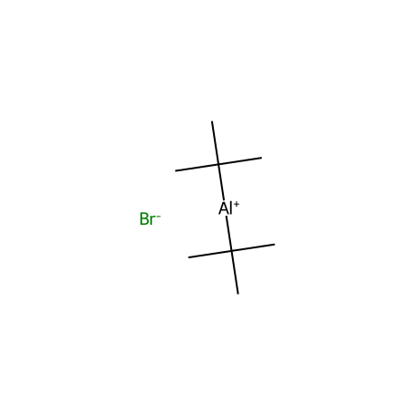 C[C](C)(C)[Al+][C](C)(C)C.[Br-]